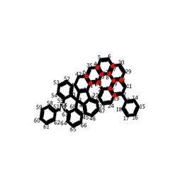 C1=C(N(c2ccccc2-c2ccc(-c3ccccc3)cc2)c2ccccc2-c2ccccc2-c2ccccc2)C2=C(CC1)C1(c3ccccc32)c2ccccc2N(c2ccccc2)c2ccccc21